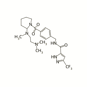 CN(C)CCN(C)C1CCCCN1S(=O)(=O)c1ccc(CNC(=O)c2cc(C(F)(F)F)n[nH]2)cc1